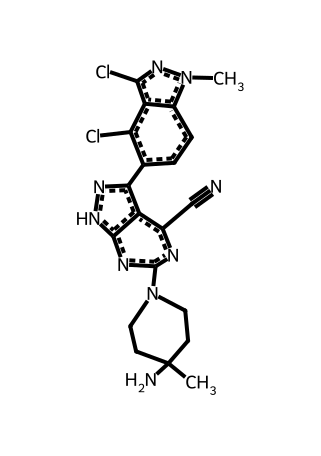 Cn1nc(Cl)c2c(Cl)c(-c3n[nH]c4nc(N5CCC(C)(N)CC5)nc(C#N)c34)ccc21